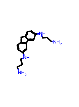 NCCCNc1ccc2c(c1)-c1cc(NCCCN)ccc1C2